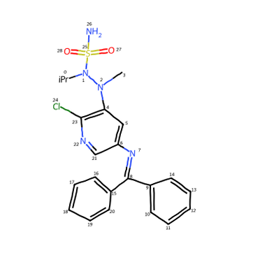 CC(C)N(N(C)c1cc(N=C(c2ccccc2)c2ccccc2)cnc1Cl)S(N)(=O)=O